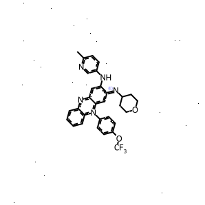 Cc1ccc(Nc2cc3nc4ccccc4n(-c4ccc(OC(F)(F)F)cc4)c-3c/c2=N\C2CCOCC2)cn1